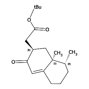 C[C@@H]1CCCC2=CC(=O)[C@@H](CC(=O)OC(C)(C)C)C[C@]21C